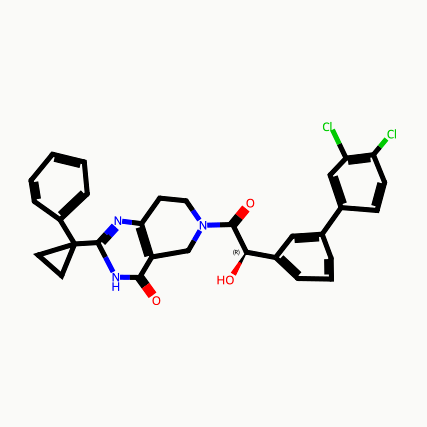 O=C([C@H](O)c1cccc(-c2ccc(Cl)c(Cl)c2)c1)N1CCc2nc(C3(c4ccccc4)CC3)[nH]c(=O)c2C1